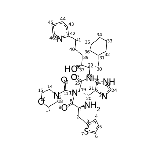 N[C@@H](Cc1cccs1)C(=O)N(C(=O)N1CCOCC1)[C@@H](Cc1c[nH]cn1)C(=O)N[C@@H](CC1CCCCC1)[C@@H](O)CCCc1ccccn1